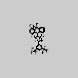 CN(Cc1cc(C(F)(F)F)cc(C(F)(F)F)c1)C(=O)c1c(-c2ccccc2C(F)(F)F)c2cc(Cl)ccc2oc1=O